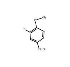 CC(C)Oc1ccc(C=O)cc1F